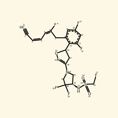 C#C/C=C\C=C(\F)Cc1cc(F)cc(F)c1C1CC(N2C[C@@H](NS(=O)(=O)CF)C(F)(F)C2)=NO1